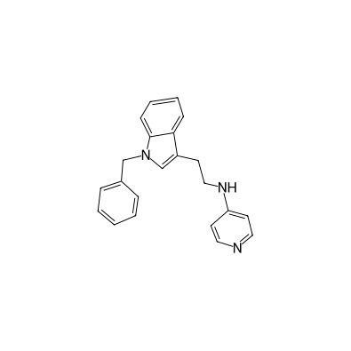 c1ccc(Cn2cc(CCNc3ccncc3)c3ccccc32)cc1